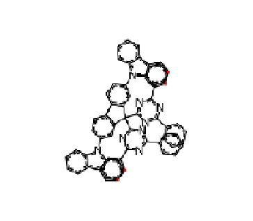 c1ccc(-c2nc(-c3ccccc3)nc(C3(c4nc(-c5ccccc5)nc(-c5ccccc5)n4)c4cc(-n5c6ccccc6c6ccccc65)ccc4-c4ccc(-n5c6ccccc6c6ccccc65)cc43)n2)cc1